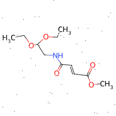 CCOC(CNC(=O)C=CC(=O)OC)OCC